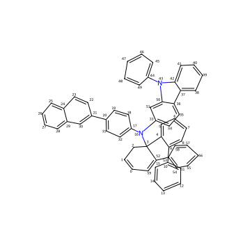 C1=CCC(c2ccccc2-c2ccccc2)(N(c2ccc(-c3ccc4ccccc4c3)cc2)c2ccc3c4ccccc4n(-c4ccccc4)c3c2)C(c2ccccc2)=C1